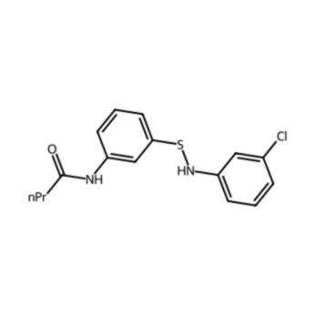 CCCC(=O)Nc1cccc(SNc2cccc(Cl)c2)c1